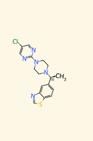 C[C@@H](c1ccc2scnc2c1)N1CCN(c2ncc(Cl)cn2)CC1